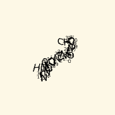 C[C@@H]1CN(c2ccc(S(=O)(=O)Nc3ccncn3)cc2)CCN1C(=O)Cn1ccc2cccc(Cl)c21